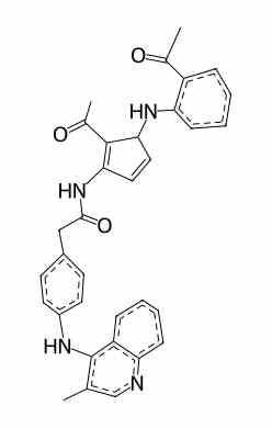 CC(=O)C1=C(NC(=O)Cc2ccc(Nc3c(C)cnc4ccccc34)cc2)C=CC1Nc1ccccc1C(C)=O